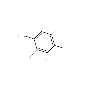 Cl.Nc1cc(N)c(S)cc1N